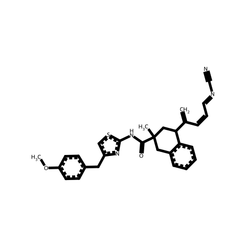 C=C(/C=C\C=NC#N)C1CC(C)(C(=O)Nc2nc(Cc3ccc(OC)cc3)cs2)Cc2ccccc21